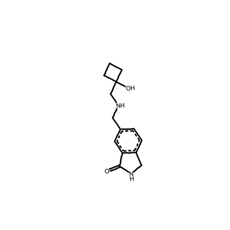 O=C1NCc2ccc(CNCC3(O)CCC3)cc21